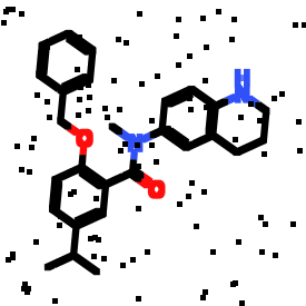 CC(C)c1ccc(OCc2ccccc2)c(C(=O)N(C)c2ccc3c(c2)CCCN3)c1